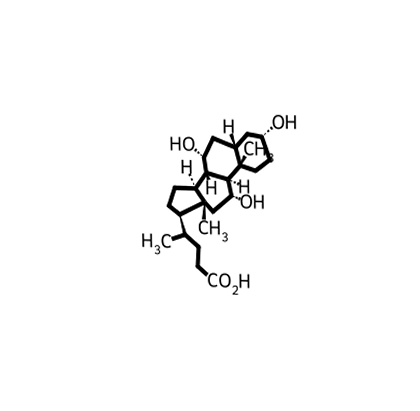 CC(CCC(=O)O)[C@H]1CC[C@H]2[C@H]3[C@H]([C@H](O)C[C@]12C)[C@@]1(C)CC[C@@H](O)C[C@H]1C[C@H]3O